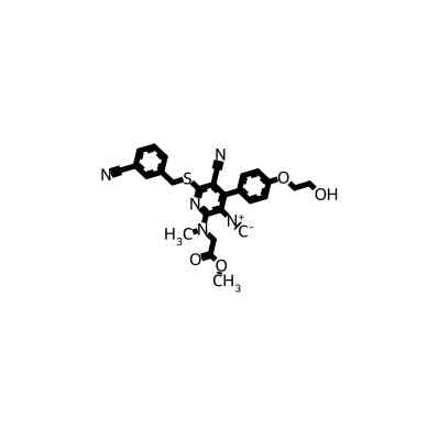 [C-]#[N+]c1c(N(C)CC(=O)OC)nc(SCc2cccc(C#N)c2)c(C#N)c1-c1ccc(OCCO)cc1